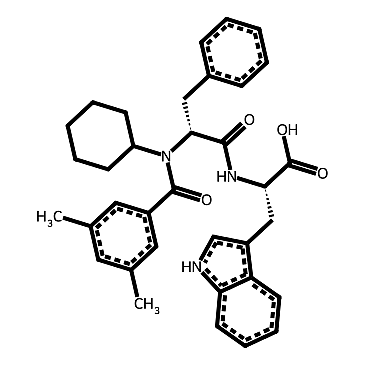 Cc1cc(C)cc(C(=O)N(C2CCCCC2)[C@H](Cc2ccccc2)C(=O)N[C@@H](Cc2c[nH]c3ccccc23)C(=O)O)c1